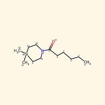 CCCCCC(=O)N1CC[Si](C)(C)CC1